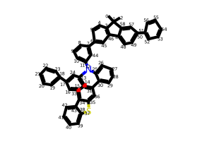 CC1(C)c2ccc(-c3cccc(N(c4cccc(-c5ccccc5)c4)c4ccccc4-c4ccc5c(c4)sc4ccccc45)c3)cc2-c2ccc(-c3ccccc3)cc21